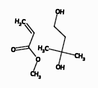 C=CC(=O)OC.CC(C)(O)CCO